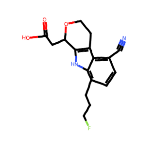 N#Cc1ccc(CCCF)c2[nH]c3c(c12)CCOC3CC(=O)O